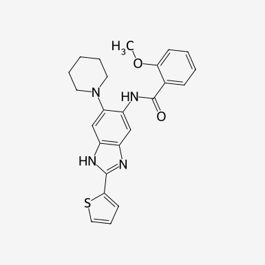 COc1ccccc1C(=O)Nc1cc2nc(-c3cccs3)[nH]c2cc1N1CCCCC1